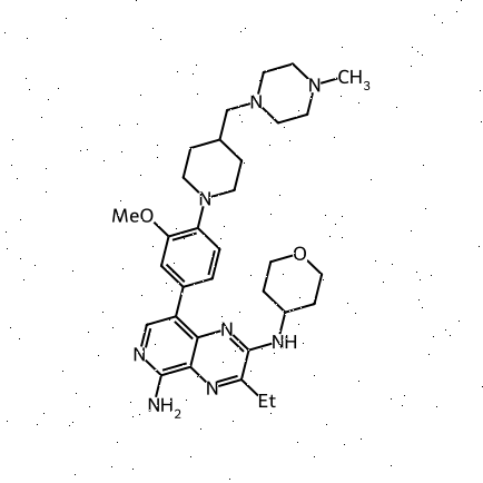 CCc1nc2c(N)ncc(-c3ccc(N4CCC(CN5CCN(C)CC5)CC4)c(OC)c3)c2nc1NC1CCOCC1